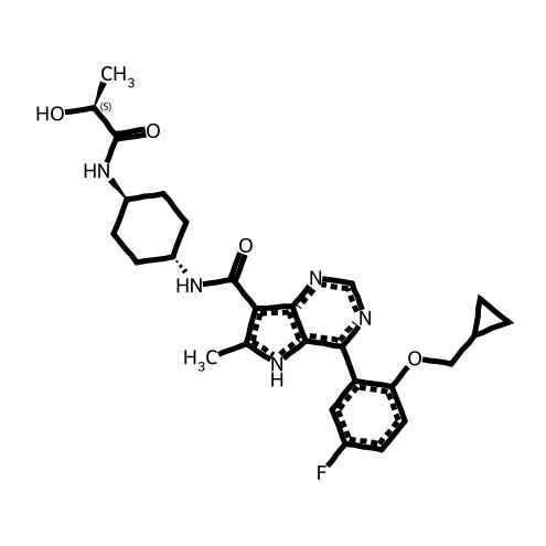 Cc1[nH]c2c(-c3cc(F)ccc3OCC3CC3)ncnc2c1C(=O)N[C@H]1CC[C@H](NC(=O)[C@H](C)O)CC1